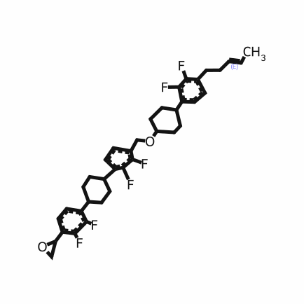 C/C=C/CCc1ccc(C2CCC(OCc3ccc(C4CCC(c5ccc(C6CO6)c(F)c5F)CC4)c(F)c3F)CC2)c(F)c1F